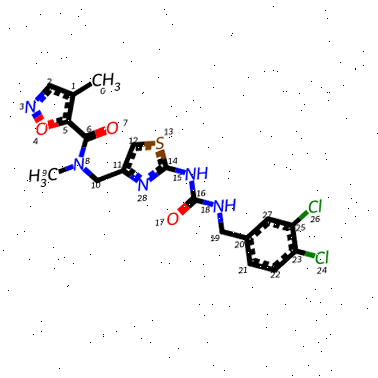 Cc1cnoc1C(=O)N(C)Cc1csc(NC(=O)NCc2ccc(Cl)c(Cl)c2)n1